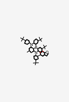 Cc1cc2c3c(c1)N(c1ccc(C(C)(C)C)cc1-c1ccc4occc4c1)c1ccc(C(C)(C)C)cc1B3c1cc(C(C)(C)C)ccc1N2c1ccc(C(C)(C)C)cc1